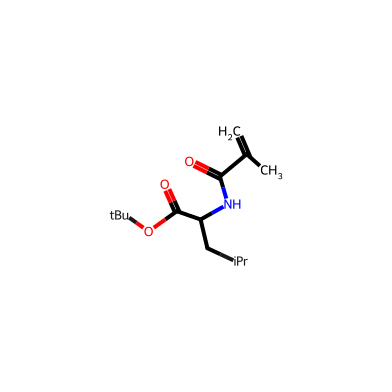 C=C(C)C(=O)NC(CC(C)C)C(=O)OC(C)(C)C